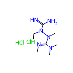 CCN(C(=N)N)N(C)C(=NC)N(C)C.Cl.Cl